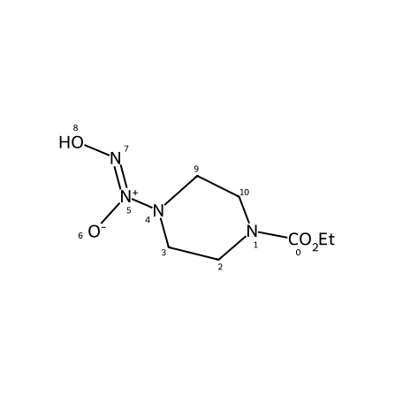 CCOC(=O)N1CCN([N+]([O-])=NO)CC1